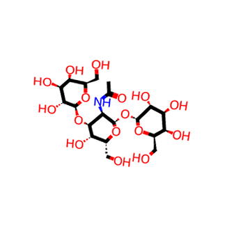 CC(=O)N[C@H]1[C@H](O[C@H]2O[C@H](CO)[C@H](O)[C@H](O)[C@H]2O)O[C@H](CO)[C@H](O)[C@@H]1O[C@@H]1O[C@H](CO)[C@H](O)[C@H](O)[C@H]1O